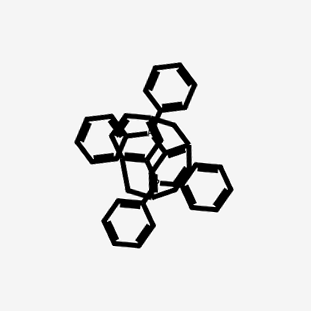 c1ccc(P(c2ccccc2)c2cc3ccc2Cc2ccc(c(P(c4ccccc4)c4ccccc4)c2)C3)cc1